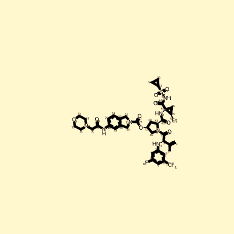 C=C(C)[C@H](Nc1cc(F)cc(C(F)(F)F)c1)C(=O)N1C[C@H](OC(=O)N2Cc3ccc(NC(=O)CN4CCOCC4)cc3C2)C[C@H]1C(=O)N[C@]1(C(=O)NS(=O)(=O)C2CC2)C[C@H]1CC